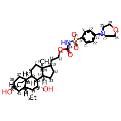 CC[C@H]1[C@@H](O)[C@@H]2[C@H](CC[C@]3(C)[C@@H](CCOC(=O)NS(=O)(=O)c4ccc(N5CCOCC5)cc4)CC[C@@H]23)[C@@]2(C)CC[C@@H](O)C[C@@H]12